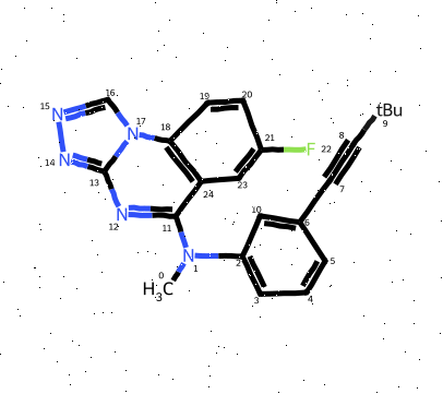 CN(c1cccc(C#CC(C)(C)C)c1)c1nc2nncn2c2ccc(F)cc12